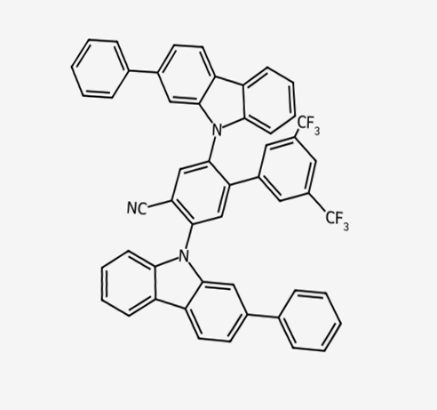 N#Cc1cc(-n2c3ccccc3c3ccc(-c4ccccc4)cc32)c(-c2cc(C(F)(F)F)cc(C(F)(F)F)c2)cc1-n1c2ccccc2c2ccc(-c3ccccc3)cc21